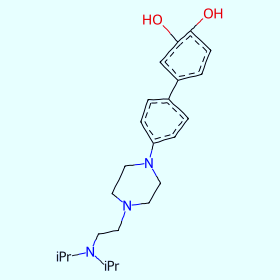 CC(C)N(CCN1CCN(c2ccc(-c3ccc(O)c(O)c3)cc2)CC1)C(C)C